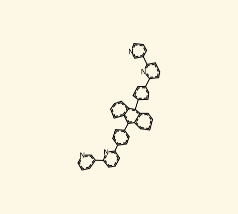 c1cncc(-c2cccc(-c3ccc(-c4c5ccccc5c(-c5ccc(-c6cccc(-c7cccnc7)n6)cc5)c5ccccc45)cc3)n2)c1